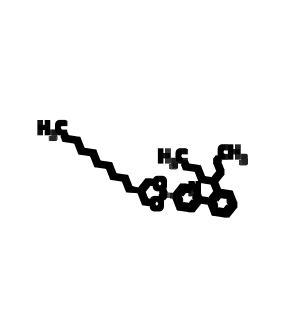 CCCCCCCCCC[C@H]1CO[C@H](c2ccc(-c3ccccc3C(CCC)CCCC)nc2)OC1